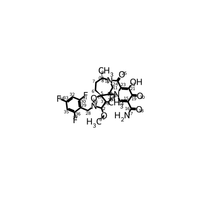 COC1[C@H](C)[C@]2(CC[C@H](C)N3C[C@H]2n2cc(C(N)=O)c(=O)c(O)c2C3=O)ON1Cc1c(F)cc(F)cc1F